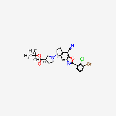 CC(C)(C)OC(=O)[C@@H]1CCN([C@H]2CCc3c2cc2nc(-c4cccc(Br)c4Cl)oc2c3C#N)C1